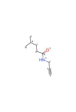 C#CCNC(=O)CCC(C)C